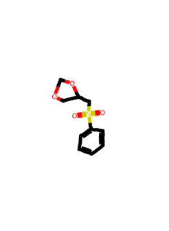 O=S(=O)(CC1COCO1)c1ccccc1